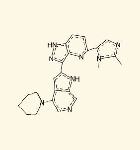 Cc1ncc(-c2ccc3[nH]nc(-c4cc5c(N6CCCCC6)cncc5[nH]4)c3n2)n1C